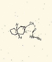 CN1C[C@H]2CCCC[C@H]2C[C@H]1C(=O)NC(C)(C)C